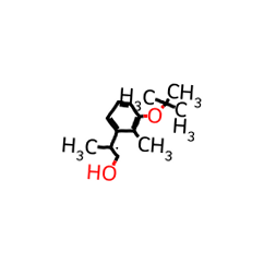 C[C](CO)c1cccc(OC(C)(C)C)c1C